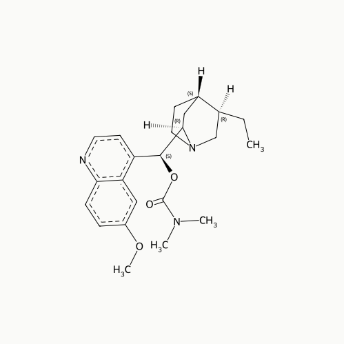 CC[C@H]1CN2CC[C@H]1C[C@@H]2[C@@H](OC(=O)N(C)C)c1ccnc2ccc(OC)cc12